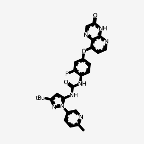 Cc1ccc(-n2nc(C(C)(C)C)cc2NC(=O)Nc2ccc(Oc3ccnc4[nH]c(=O)cnc34)cc2F)cn1